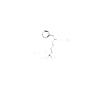 CCC(CCCCC(Cc1ccccc1)C(=O)O)(C(=O)O)C(C)(C)C